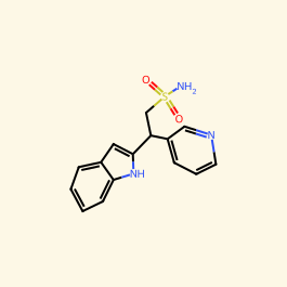 NS(=O)(=O)CC(c1cccnc1)c1cc2ccccc2[nH]1